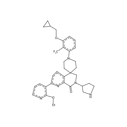 CCOc1ncccc1-c1ccc2c(n1)C(=O)N(C1CCNC1)CC21CCN(c2cccc(OCC3CC3)c2C(F)(F)F)CC1